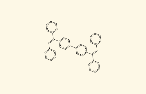 C(=C(\c1ccccc1)c1ccc(-c2ccc(/C(=C\c3ccccc3)c3ccccc3)cc2)cc1)/c1ccccc1